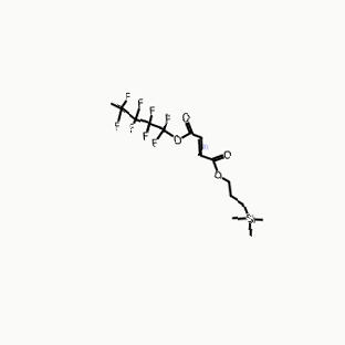 CC(F)(F)C(F)(F)C(F)(F)C(F)(F)OC(=O)/C=C/C(=O)OCCC[Si](C)(C)C